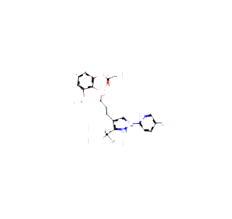 COc1cccc(OC(C)=O)c1OCCCc1cn(-c2ccc(Cl)cn2)nc1C(C)(C)C